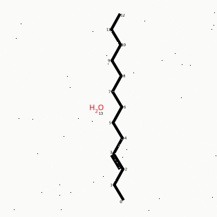 CCC=CCCCCCCCCC.O